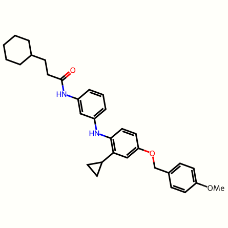 COc1ccc(COc2ccc(Nc3cccc(NC(=O)CCC4CCCCC4)c3)c(C3CC3)c2)cc1